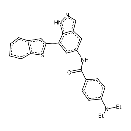 CCN(CC)c1ccc(C(=O)Nc2cc(-c3cc4ccccc4s3)c3[nH]ncc3c2)cc1